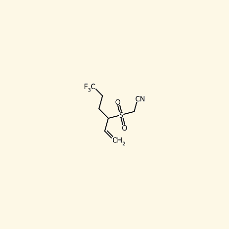 C=CC(CCC(F)(F)F)S(=O)(=O)CC#N